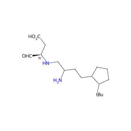 CC(C)(C)C1CCCC1CCC(N)CN[C@@H](C=O)CC(=O)O